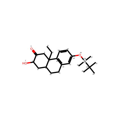 CCC12CC(=O)C(O)CC1CCc1cc(O[Si](C)(C)C(C)(C)C)ccc12